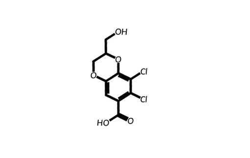 O=C(O)c1cc2c(c(Cl)c1Cl)OC(CO)CO2